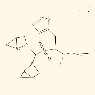 C=CC[C@H](C)[C@H](Cc1cccs1)S(=O)(=O)C(P1CC2CB21)P1CC2CB21